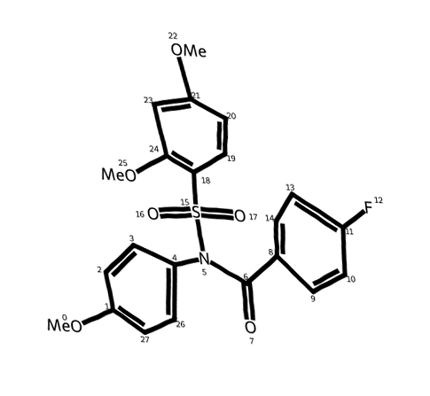 COc1ccc(N(C(=O)c2ccc(F)cc2)S(=O)(=O)c2ccc(OC)cc2OC)cc1